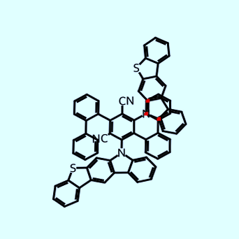 N#Cc1c(-c2ccccc2-c2ccccc2)c(C#N)c(-n2c3ccccc3c3cc4c(cc32)sc2ccccc24)c(-c2ccccc2-c2ccccc2)c1-n1c2ccccc2c2cc3c(cc21)sc1ccccc13